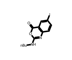 CCCCNc1nc2ccc(I)cc2c(=O)o1